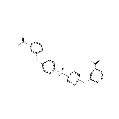 O=C(Cl)c1cccc(Oc2ccc(S(=O)(=O)c3ccc(Oc4cccc(C(=O)Cl)c4)cc3)cc2)c1